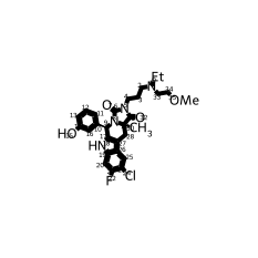 CCN(CCCN1C(=O)N2[C@H](c3cccc(O)c3)c3[nH]c4cc(F)c(Cl)cc4c3C[C@@]2(C)C1=O)CCOC